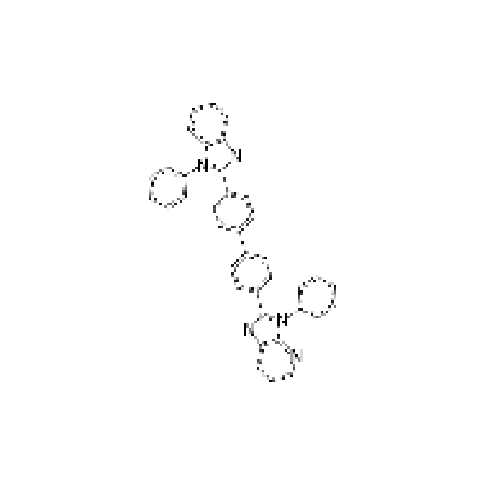 c1ccc(-n2c(-c3ccc(-c4ccc(-c5nc6cccnc6n5-c5ccccc5)cc4)cc3)nc3ccccc32)cc1